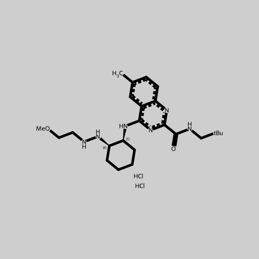 COCCNN[C@@H]1CCCC[C@@H]1Nc1nc(C(=O)NCC(C)(C)C)nc2ccc(C)cc12.Cl.Cl